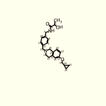 CC(O)C(=O)NCc1ccc(CN2CCc3cc(OCC4CC4)ccc3C2)cc1